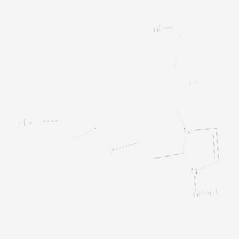 CCCCCCCCCCCCCCCCC1N(CCCCC)C=CN1CCCCCCCCCCCCCC